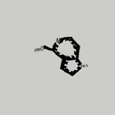 COc1nccc2[nH]ccc12